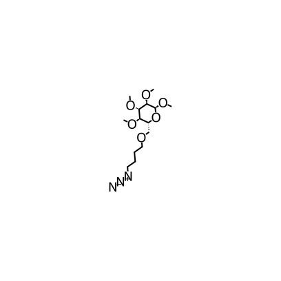 CO[C@H]1O[C@H](COCCCCN=[N+]=[N-])[C@@H](OC)[C@H](OC)[C@H]1OC